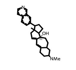 CNC1CCC2=CC3=CCC4(C)C(c5ccc6ccncc6c5)CCC4[C@@]3(O)CCC2C1